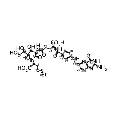 CCSSC[C@H](NC(=O)[C@@H](NC(=O)CC[C@H](NC(=O)c1ccc(NCc2cnc3nc(N)[nH]c(=O)c3n2)cc1)C(=O)O)[C@@H](O)[C@H](O)[C@H](O)CO)C(=O)O